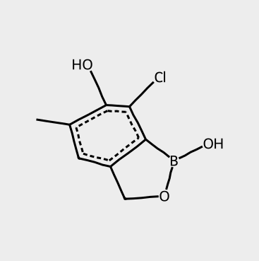 Cc1cc2c(c(Cl)c1O)B(O)OC2